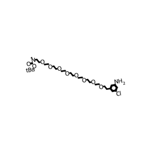 CN(CCOCCOCCOCCOCCOCCOCCOCCOCCc1cc(N)cc(Cl)c1)C(=O)OC(C)(C)C